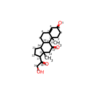 CC12CCC(=O)C=C1CCC1C2C(=O)CC2(C)C(C(=O)CO)CCC12